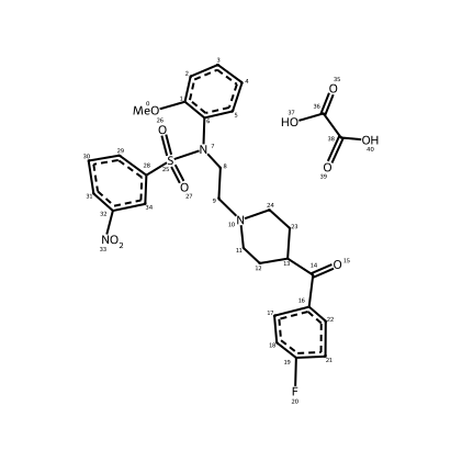 COc1ccccc1N(CCN1CCC(C(=O)c2ccc(F)cc2)CC1)S(=O)(=O)c1cccc([N+](=O)[O-])c1.O=C(O)C(=O)O